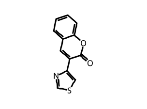 O=c1oc2ccccc2cc1-c1cscn1